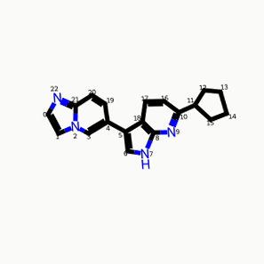 c1cn2cc(-c3c[nH]c4nc(C5CCCC5)ccc34)ccc2n1